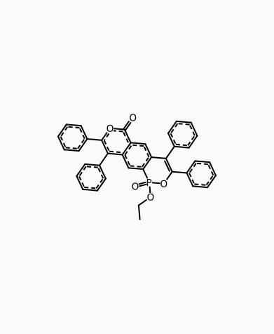 CCOP1(=O)OC(c2ccccc2)=C(c2ccccc2)c2cc3c(=O)oc(-c4ccccc4)c(-c4ccccc4)c3cc21